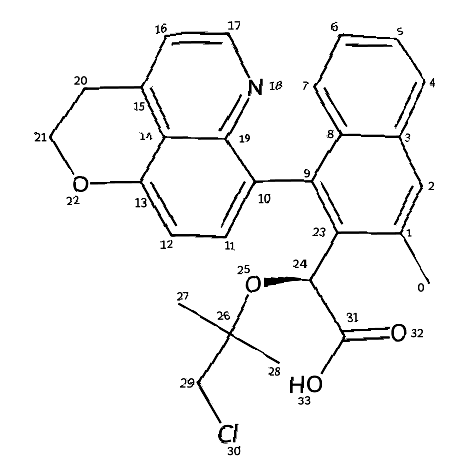 Cc1cc2ccccc2c(-c2ccc3c4c(ccnc24)CCO3)c1[C@H](OC(C)(C)CCl)C(=O)O